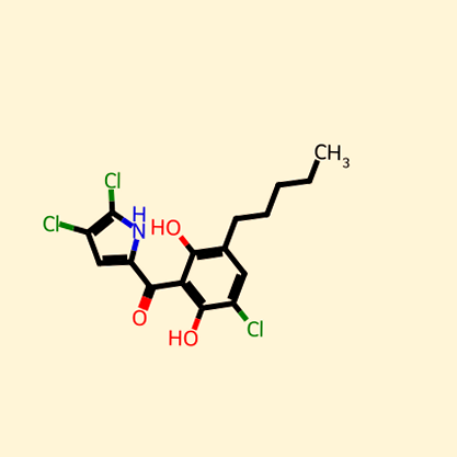 CCCCCc1cc(Cl)c(O)c(C(=O)c2cc(Cl)c(Cl)[nH]2)c1O